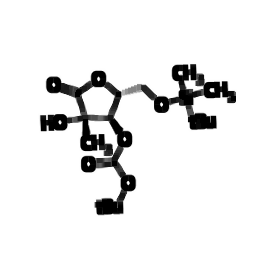 CC(C)(C)OC(=O)O[C@@H]1[C@@H](CO[Si](C)(C)C(C)(C)C)OC(=O)[C@@]1(C)O